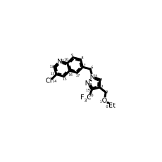 CCOCc1cn(Cc2ccc3ncc(Cl)cc3c2)nc1C(F)(F)F